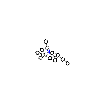 c1ccc(-c2ccc(-c3ccc4c(c3)C(c3ccccc3)(c3ccccc3)c3cc(N(c5ccc(-c6ccccc6)cc5)c5ccc6c(c5)C(c5ccccc5)(c5ccccc5)c5ccccc5-6)ccc3-4)cc2)cc1